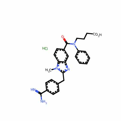 Cl.Cn1c(Cc2ccc(C(=N)N)cc2)nc2cc(C(=O)N(CCCC(=O)O)c3ccccc3)ccc21